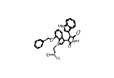 CCN(CC)CCn1cc(C2=C(c3c[nH]c4ccccc34)C(=O)NC2=O)c2cccc(OCc3ccccc3)c21